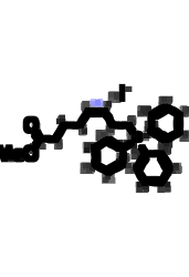 COC(=O)CCC/C=C\CC[P+](c1ccccc1)(c1ccccc1)c1ccccc1.[I-]